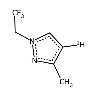 [2H]c1cn(CC(F)(F)F)nc1C